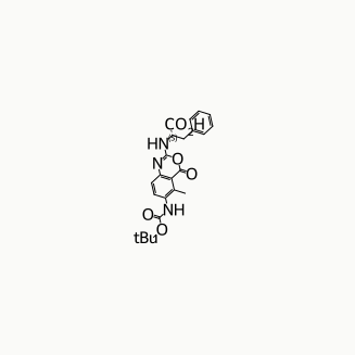 Cc1c(NC(=O)OC(C)(C)C)ccc2nc(N[C@@H](Cc3ccccc3)C(=O)O)oc(=O)c12